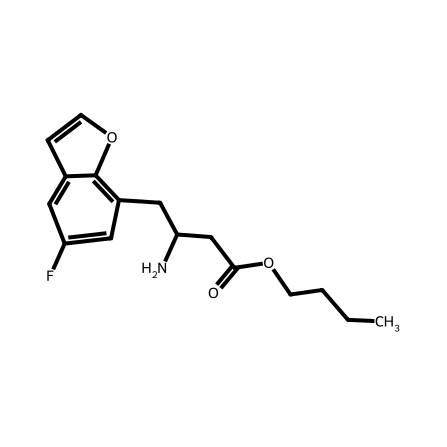 CCCCOC(=O)CC(N)Cc1cc(F)cc2ccoc12